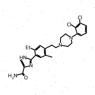 CCc1cc(CCN2CCN(c3cccc(Cl)c3Cl)CC2)c(C)cc1-c1nc(C(N)=O)c[nH]1